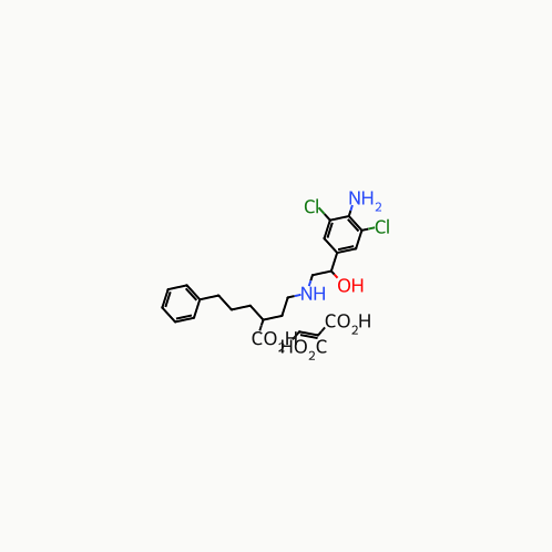 Nc1c(Cl)cc(C(O)CNCCC(CCCc2ccccc2)C(=O)O)cc1Cl.O=C(O)C=CC(=O)O